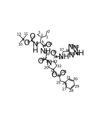 CC[C@H](C)[C@H](NC(=O)OC(C)(C)C)C(=O)NCC(=O)N1C[C@H](OC(=O)Cc2ccccc2)C[C@H]1C(=O)NCc1nn[nH]n1